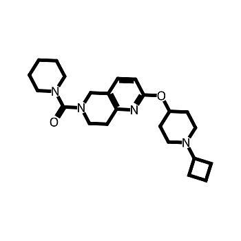 O=C(N1CCCCC1)N1CCc2nc(OC3CCN(C4CCC4)CC3)ccc2C1